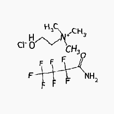 C[N+](C)(C)CCO.NC(=O)C(F)(F)C(F)(F)C(F)(F)F.[Cl-]